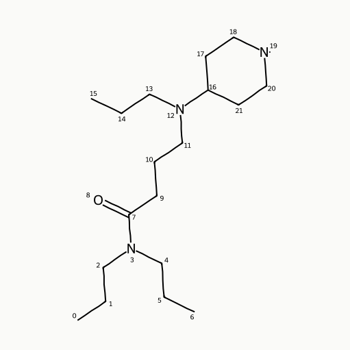 CCCN(CCC)C(=O)CCCN(CCC)C1CC[N]CC1